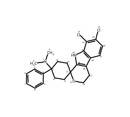 CN(C)C1(c2ccccc2)CCC2(CC1)OCCc1c2[nH]c2c(Cl)c(Cl)ccc12